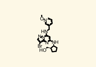 CO[n+]1cccc(CNc2cc(N[C@H]3CCC[C@H]3CO)nc3c(Br)cnn23)c1